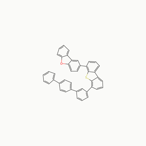 c1ccc(-c2ccc(-c3cccc(-c4cccc5c4sc4c(-c6ccc7oc8ccccc8c7c6)cccc45)c3)cc2)cc1